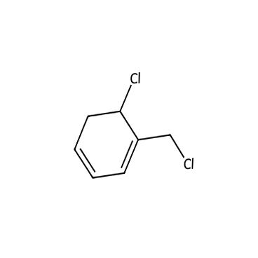 ClCC1=CC=CCC1Cl